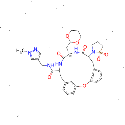 Cn1cc(CNC(=O)C2Cc3cccc(c3)Oc3cccc(c3)CC(N3CCCS3(=O)=O)C(=O)N[C@@H](CC3OCCCO3)C(=O)N2)cn1